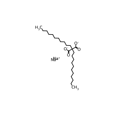 CCCCCCCCCCCC(CCCCCCCCCCC)(C(=O)[O-])C(=O)[O-].[Na+].[Na+]